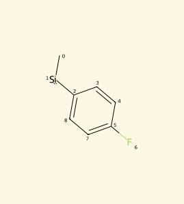 C[Si]c1ccc(F)cc1